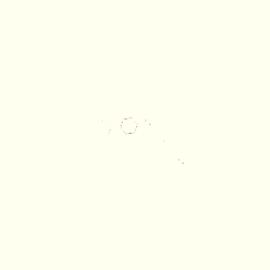 O=C(NCC(F)F)c1ccc(NC2CN(C3CCNCC3)C2)cc1Cl